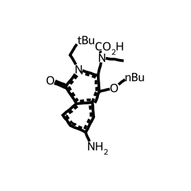 CCCCOc1c(N(C)C(=O)O)n(CC(C)(C)C)c(=O)c2ccc(N)cc12